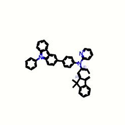 C=C1/C(=C\C(=C/C)N(c2ccc(-c3ccc4c(c3)c3ccccc3n4-c3ccccc3)cc2)c2ccccn2)C(C)(C)c2ccccc21